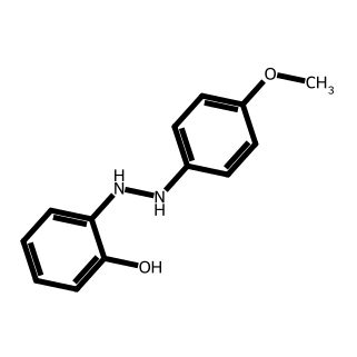 COc1ccc(NNc2ccccc2O)cc1